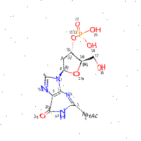 CC(=O)Nc1nc2c(ncn2[C@H]2C[C@H](OP(=O)(O)O)[C@@H](CO)O2)c(=O)[nH]1